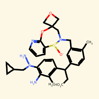 Cc1ccc(C(CC(=O)O)c2ccc(N(N)CC3CC3)c(N)c2C)cc1CN1CC2(COC2)Oc2ncccc2[S+]1[O-]